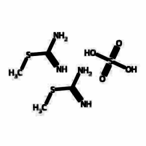 CSC(=N)N.CSC(=N)N.O=S(=O)(O)O